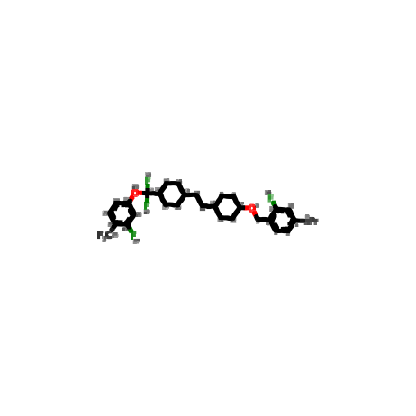 CCCc1ccc(COC2CCC(CCC3CCC(C(F)(F)Oc4ccc(C(F)(F)F)c(F)c4)CC3)CC2)c(F)c1